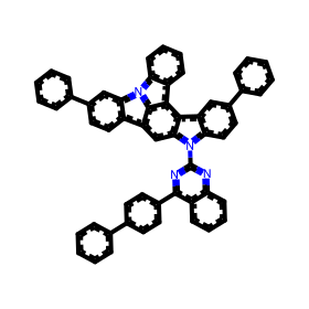 c1ccc(-c2ccc(-c3nc(-n4c5ccc(-c6ccccc6)cc5c5c6c7ccccc7n7c8cc(-c9ccccc9)ccc8c(cc54)c67)nc4ccccc34)cc2)cc1